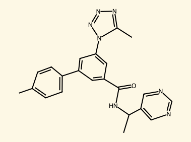 Cc1ccc(-c2cc(C(=O)NC(C)c3cncnc3)cc(-n3nnnc3C)c2)cc1